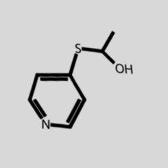 CC(O)Sc1ccncc1